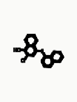 Oc1c(Cl)cc(Sc2cccc3ccccc23)c2ccccc12